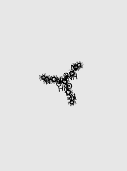 O=C(Nc1ccc(-c2cc3c(cn2)CCC3)cc1)c1cc(C(=O)Nc2ccc(-c3cc4c(cn3)CCC4)cc2)cc(C(=O)Nc2ccc(-c3cc4c(cn3)CCC4)cc2)c1